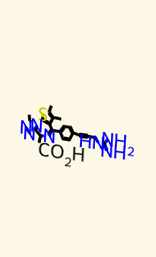 Cc1sc2c(c1C)C(c1ccc(C#CCNC(=N)N)cc1)=NC(CC(=O)O)c1nnc(C)n1-2